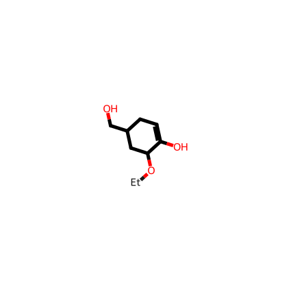 CCOC1CC(CO)CC=C1O